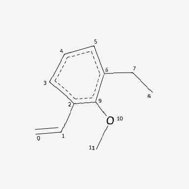 C=Cc1cccc(CC)c1OC